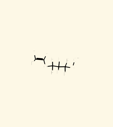 FC(F)=C(F)OC(F)(F)C(F)(F)C(F)(F)OC(F)(F)F